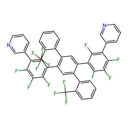 Fc1c(F)c(-c2cccnc2)c(F)c(-c2cc(-c3ccccc3C(F)(F)F)c(-c3c(F)c(F)c(F)c(-c4cccnc4)c3F)cc2-c2ccccc2C(F)(F)F)c1F